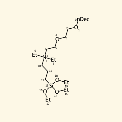 CCCCCCCCCCOCCOCC[N+](CC)(CC)CCC[Si](OCC)(OCC)OCC